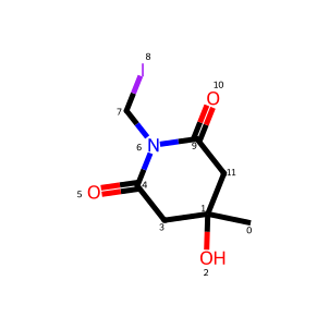 CC1(O)CC(=O)N(CI)C(=O)C1